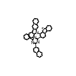 c1ccc(-c2nc(-c3ccc4ccccc4c3)nc(-c3ccc4c(sc5ccccc54)c3-n3c4ccccc4c4cc5ccccc5cc43)n2)cc1